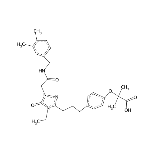 CCn1c(CCCc2ccc(OC(C)(C)C(=O)O)cc2)nn(CC(=O)NCc2ccc(C)c(C)c2)c1=O